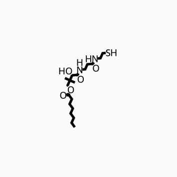 CCCCCCCC(=O)OCC(C)(C)C(O)C(=O)NCCC(=O)NCCS